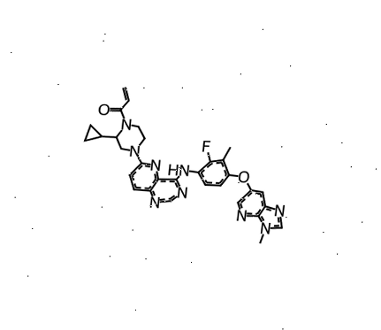 C=CC(=O)N1CCN(c2ccc3ncnc(Nc4ccc(Oc5cnc6c(c5)ncn6C)c(C)c4F)c3n2)CC1C1CC1